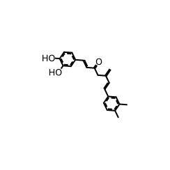 C=C(/C=C/c1ccc(C)c(C)c1)CC(=O)/C=C/c1ccc(O)c(O)c1